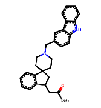 COC(=O)CC1CC2(CCN(Cc3ccc4[nH]c5ccccc5c4c3)CC2)c2ccccc21